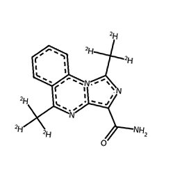 [2H]C([2H])([2H])c1nc2c(C(N)=O)nc(C([2H])([2H])[2H])n2c2ccccc12